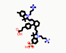 Cc1ccc2c(c1)C(C)(C)C(/C=C/C1=C(c3ccc(CCC(=O)O)cc3)C(=C/C=C3/N(CCC[N+](C)(C)C)c4ccc(S(=O)(=O)O)cc4C3(C)C)/CCC1)=[N+]2CCC[N+](C)(C)C